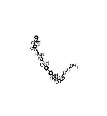 COc1cc2c(cc1OCCCNC(=O)c1cc(NC(=O)c3ccc(-c4ccc(NC(=O)[C@H](C)NC(=O)[C@@H](NC(=O)CCOCCOCCN)C(C)C)cc4)cc3)cn1C)N=C[C@@H]1Cc3ccccc3CN1C2=O